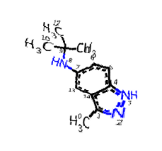 Cc1n[nH]c2ccc(NC(C)(C)C)cc12